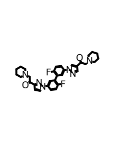 O=C(CN1CCCCC1)c1cnn(-c2ccc(F)c(-c3cc(-n4ccc(C(=O)CN5CCCCC5)n4)ccc3F)c2)c1